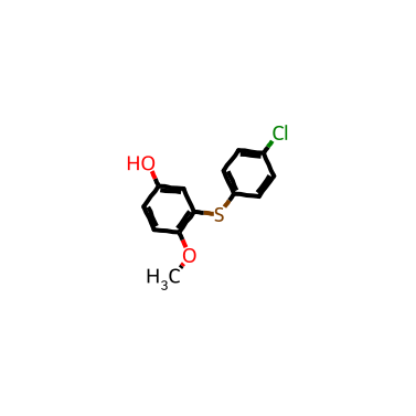 COc1ccc(O)cc1Sc1ccc(Cl)cc1